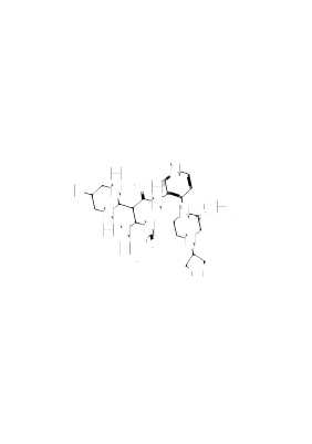 C[C@@H]1CN(C2COC2)CCN1c1ccncc1NC(=O)C(C(N)N=O)C1NCC(F)CN1